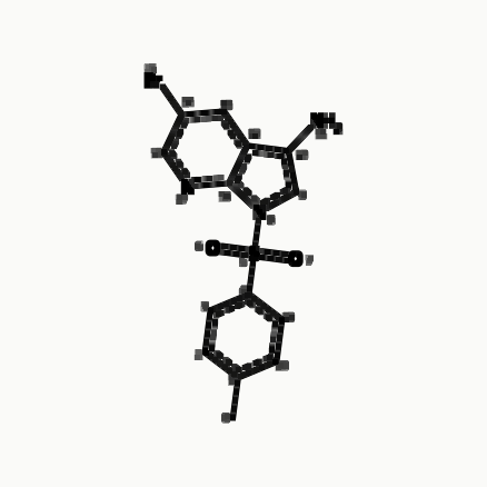 Cc1ccc(S(=O)(=O)n2cc(N)c3cc(Br)cnc32)cc1